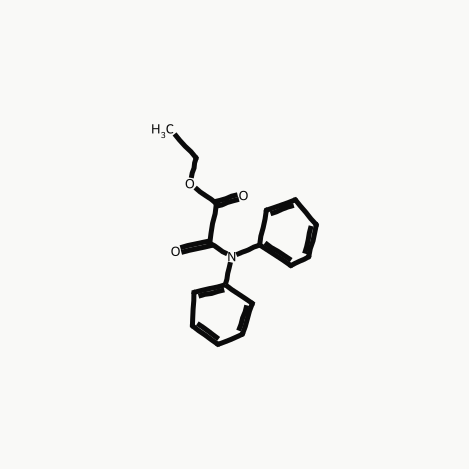 CCOC(=O)C(=O)N(c1ccccc1)c1ccccc1